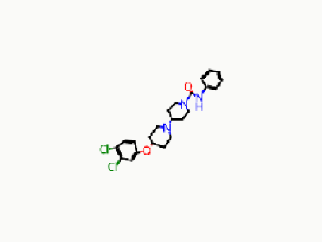 O=C(Nc1ccccc1)N1CCC(N2CCC(Oc3ccc(Cl)c(Cl)c3)CC2)CC1